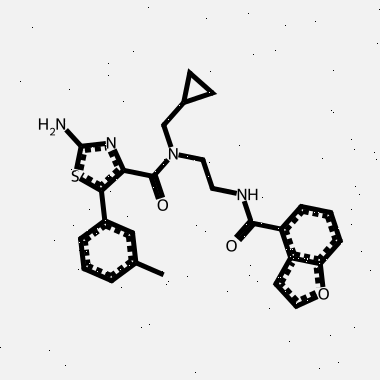 Cc1cccc(-c2sc(N)nc2C(=O)N(CCNC(=O)c2cccc3occc23)CC2CC2)c1